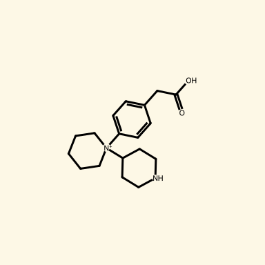 O=C(O)Cc1ccc([N+]2(C3CCNCC3)CCCCC2)cc1